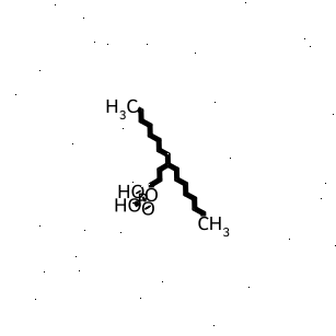 CCCCCCCCC(CCCCCCCC)CCCOP(=O)(O)O